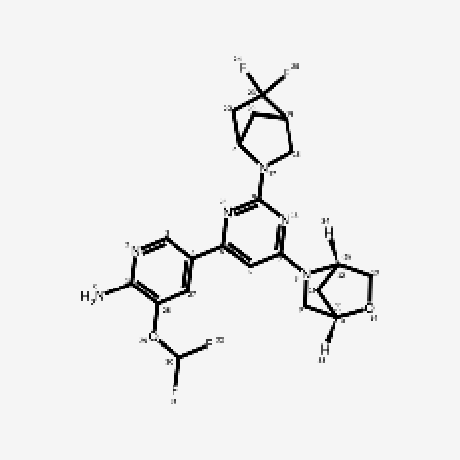 Nc1ncc(-c2cc(N3C[C@@H]4C[C@H]3CO4)nc(N3CC4CC3CC4(F)F)n2)cc1OC(F)F